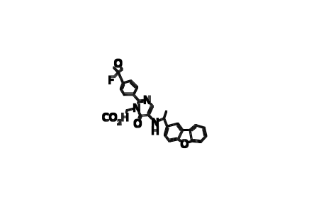 CC(Nc1cnc(-c2ccc(C3(F)COC3)cc2)n(CC(=O)O)c1=O)c1ccc2oc3ccccc3c2c1